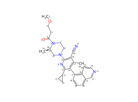 COCCC(=O)N1CCN(c2nc(C3CC3)c(-c3cccc4cnccc34)c(C)c2C#N)C[C@H]1C